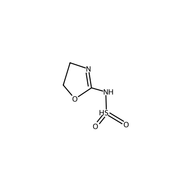 O=[SH](=O)NC1=NCCO1